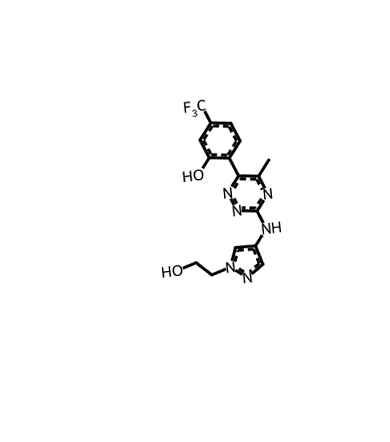 Cc1nc(Nc2cnn(CCO)c2)nnc1-c1ccc(C(F)(F)F)cc1O